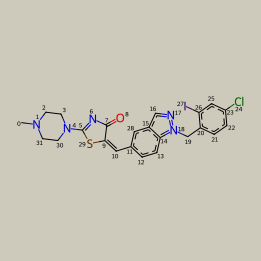 CN1CCN(C2=NC(=O)C(=Cc3ccc4c(cnn4Cc4ccc(Cl)cc4I)c3)S2)CC1